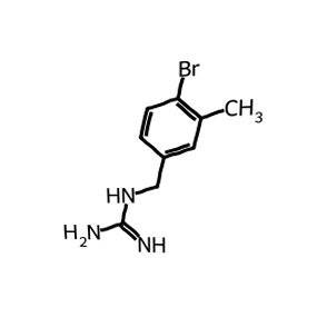 Cc1cc(CNC(=N)N)ccc1Br